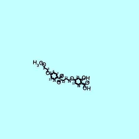 COCCOc1ccc(S(=O)(=O)CCCOc2ccc(C(=O)O)c(O)c2)cc1